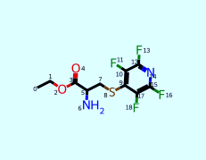 CCOC(=O)C(N)CSc1c(F)c(F)nc(F)c1F